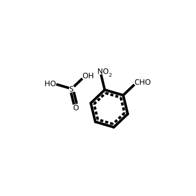 O=Cc1ccccc1[N+](=O)[O-].O=S(O)O